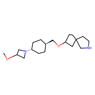 COC1CN([C@H]2CC[C@H](COC3CCC4(CCNC4)C3)CC2)C1